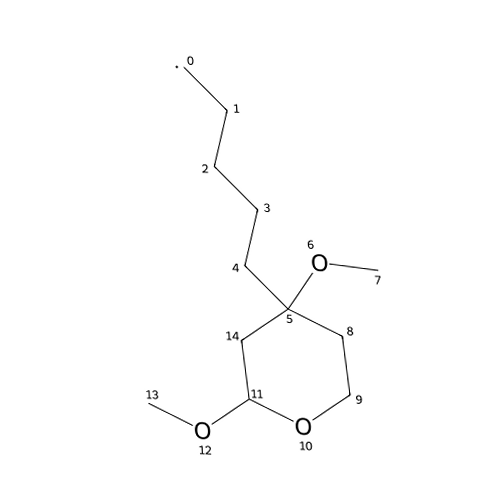 [CH2]CCCCC1(OC)CCOC(OC)C1